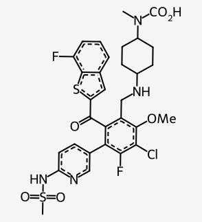 COc1c(Cl)c(F)c(-c2ccc(NS(C)(=O)=O)nc2)c(C(=O)c2cc3cccc(F)c3s2)c1CNC1CCC(N(C)C(=O)O)CC1